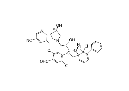 CC1(Cl)C(c2ccccc2)=CC=CC1(COc1cc(OCc2cncc(C#N)c2)c(C=O)cc1Cl)OCC(O)CN1CC[C@@H](O)C1